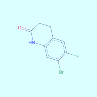 O=C1CCc2cc(F)c(Br)cc2N1